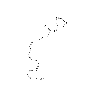 CCCCC/C=C\C/C=C\C/C=C\C/C=C\CCCC(=O)OC1COCOC1